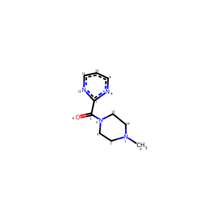 CN1CCN(C(=O)c2ncccn2)CC1